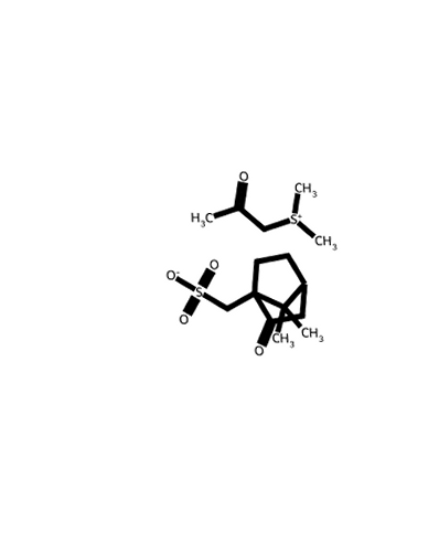 CC(=O)C[S+](C)C.CC1(C)C2CCC1(CS(=O)(=O)[O-])C(=O)C2